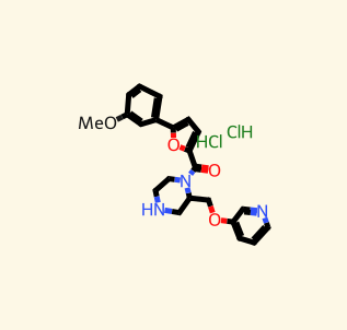 COc1cccc(-c2ccc(C(=O)N3CCNCC3COc3cccnc3)o2)c1.Cl.Cl